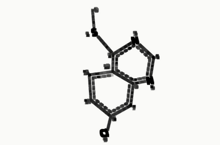 CSc1ncnc2cc(Cl)ccc12